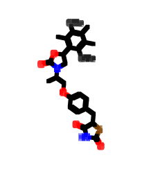 COc1c(C)c(C)c(OC)c(C2CN(C(C)COc3ccc(CC4SC(=O)NC4=O)cc3)C(=O)O2)c1C